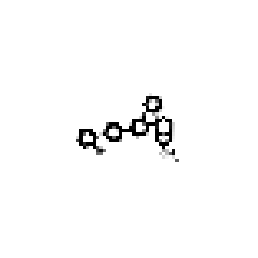 CC1C=C2CC(CCC23c2ccccc2-c2cc(-c4ccc(-c5ccccc5Br)cc4)ccc23)C1